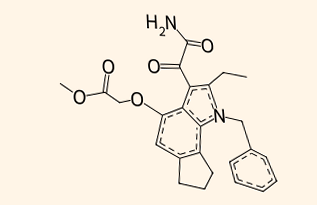 CCc1c(C(=O)C(N)=O)c2c(OCC(=O)OC)cc3c(c2n1Cc1ccccc1)CCC3